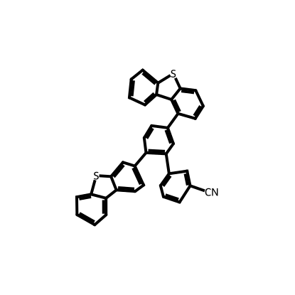 N#Cc1cccc(-c2cc(-c3cccc4sc5ccccc5c34)ccc2-c2ccc3c(c2)sc2ccccc23)c1